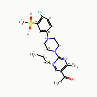 CC(=O)c1cnc(N2CCN(c3ccc(F)c(S(C)(=O)=O)c3)C[C@H]2C(C)C)nc1C